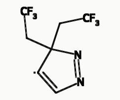 FC(F)(F)CC1(CC(F)(F)F)[C]=CN=N1